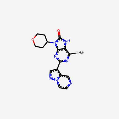 COc1nc(-c2cnn3ccncc23)nc2c1[nH]c(=O)n2C1CCOCC1